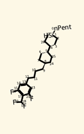 CCCCC[Si@H]1CC[C@H]([C@H]2CC[C@H](CCCCc3cc(F)c(C(F)F)c(F)c3)CC2)CC1